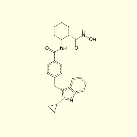 O=C(N[C@@H]1CCCC[C@@H]1C(=O)NO)c1ccc(Cn2c(C3CC3)nc3ccccc32)cc1